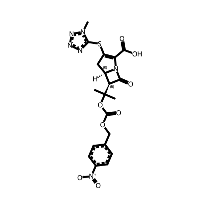 Cn1nnnc1SC1=C(C(=O)O)N2C(=O)[C@@H](C(C)(C)OC(=O)OCc3ccc([N+](=O)[O-])cc3)[C@H]2C1